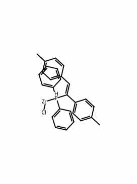 Cc1ccc(C=C(c2ccc(C)cc2)[PH]([Zr][Cl])(c2ccccc2)c2ccccc2)cc1